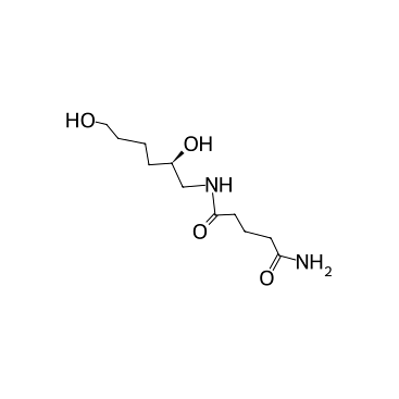 NC(=O)CCCC(=O)NC[C@H](O)CCCCO